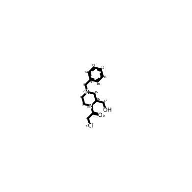 O=C(CCl)N1CCN(Cc2ccccc2)CC1CO